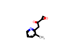 Cc1cccnc1CC(=O)C1CO1